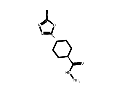 Cc1nnc([C@H]2CC[C@H](C(=O)NN)CC2)o1